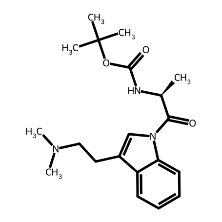 C[C@H](NC(=O)OC(C)(C)C)C(=O)n1cc(CCN(C)C)c2ccccc21